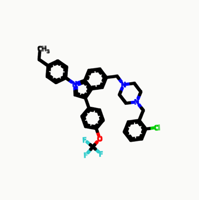 CCc1ccc(-n2cc(-c3ccc(OC(F)(F)F)cc3)c3cc(CN4CCN(Cc5ccccc5Cl)CC4)ccc32)cc1